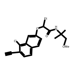 C#Cc1ccc2ccc(OC(CC)C(=O)NC(C)(C)COC)cc2c1Cl